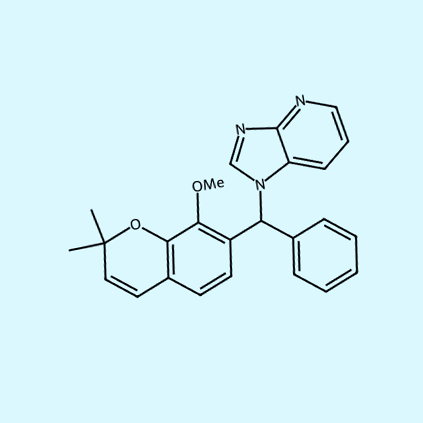 COc1c(C(c2ccccc2)n2cnc3ncccc32)ccc2c1OC(C)(C)C=C2